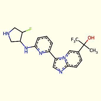 CC(O)(c1ccc2ncc(-c3cccc(NC4CNCC4F)n3)n2c1)C(F)(F)F